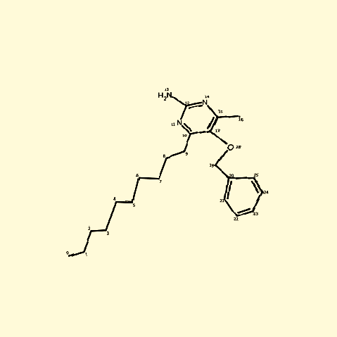 CCCCCCCCCCc1nc(N)nc(C)c1OCc1ccccc1